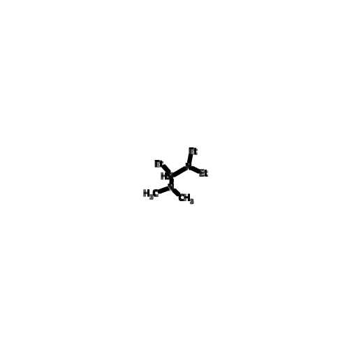 CCN(CC)[SiH](CC)N(C)C